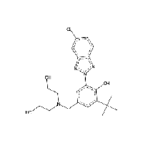 CC(C)(C)c1cc(CN(CCO)CCO)cc(-n2nc3ccc(Cl)cc3n2)c1O